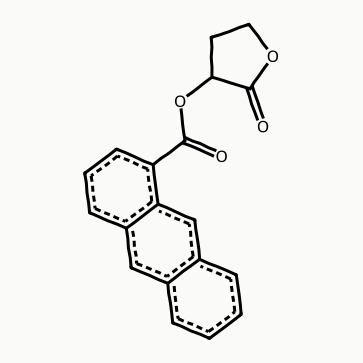 O=C(OC1CCOC1=O)c1cccc2cc3ccccc3cc12